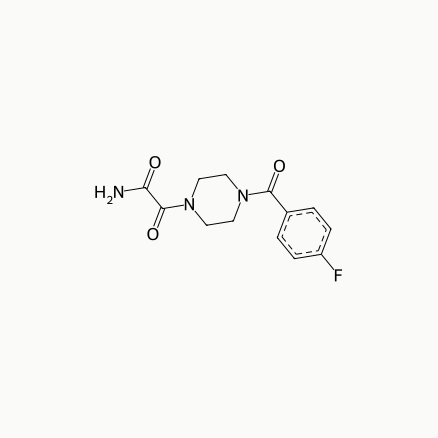 NC(=O)C(=O)N1CCN(C(=O)c2ccc(F)cc2)CC1